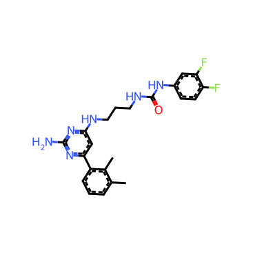 Cc1cccc(-c2cc(NCCCNC(=O)Nc3ccc(F)c(F)c3)nc(N)n2)c1C